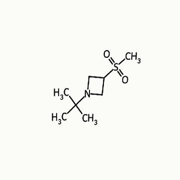 CC(C)(C)N1CC(S(C)(=O)=O)C1